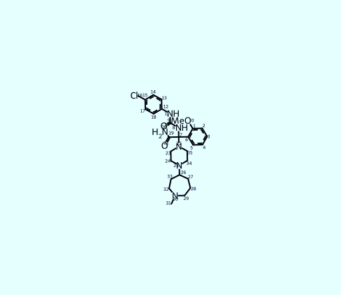 COc1ccccc1C(NC(=O)Nc1ccc(Cl)cc1)(C(N)=O)N1CCN(C2CCCN(C)CC2)CC1